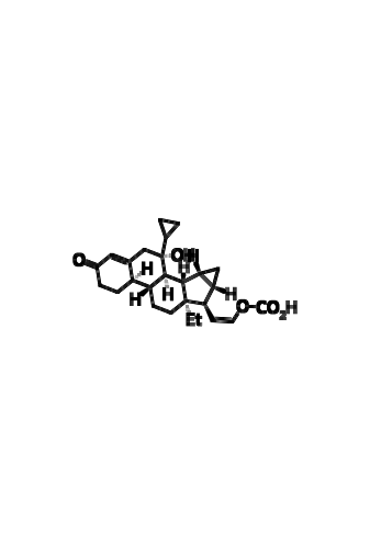 CC[C@]12CC[C@H]3[C@H]([C@@H]1[C@@H]1C[C@@H]1[C@H]2/C=C\OC(=O)O)[C@](O)(C1CC1)CC1=CC(=O)CC[C@@H]13